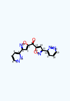 O=C(c1cc(-c2cccnn2)no1)c1cc(-c2cccnn2)no1